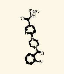 CCCC(C)NC(=O)c1ccc(N2CCN(C(=O)c3ccccc3Br)CC2)nc1